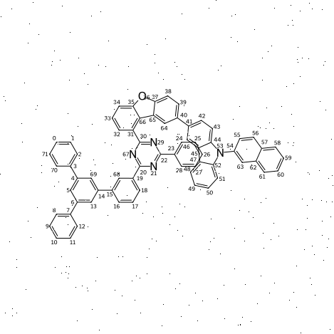 c1ccc(-c2cc(-c3ccccc3)cc(-c3cccc(-c4nc(-c5ccccc5)nc(-c5cccc6oc7ccc(-c8ccc9c(c8)c8ccccc8n9-c8ccc9ccccc9c8)cc7c56)n4)c3)c2)cc1